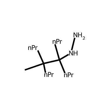 CCCC(C)(CCC)C(CCC)(CCC)NN